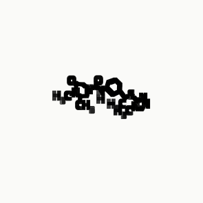 CC(Sc1nncn1C)c1cccc(NC(=O)N2CC(=O)N(C)C(C)C2)c1